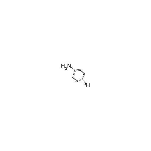 [3H]c1ccc(N)cc1